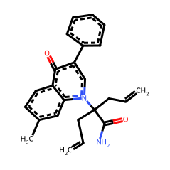 C=CCC(CC=C)(C(N)=O)n1cc(-c2ccccc2)c(=O)c2ccc(C)cc21